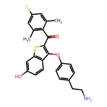 Cc1cc(F)cc(C)c1C(=O)c1sc2cc(O)ccc2c1Oc1ccc(CCN)cc1